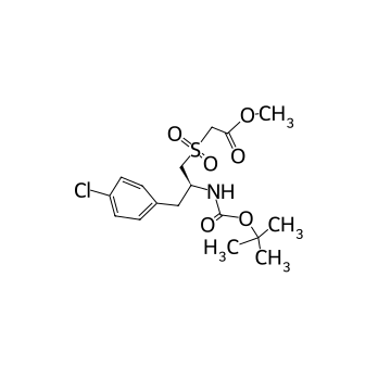 COC(=O)CS(=O)(=O)C[C@H](Cc1ccc(Cl)cc1)NC(=O)OC(C)(C)C